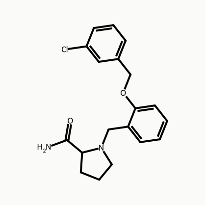 NC(=O)C1CCCN1Cc1ccccc1OCc1cccc(Cl)c1